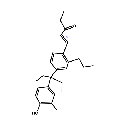 CCCc1cc(C(CC)(CC)c2ccc(O)c(C)c2)ccc1/C=C/C(=O)CC